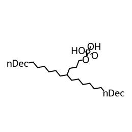 CCCCCCCCCCCCCCCCC(CCCCCCCCCCCCCCCC)CCCOP(=O)(O)O